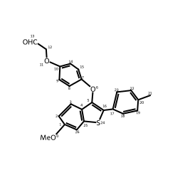 COc1ccc2c(Oc3ccc(OCC=O)cc3)c(-c3ccc(C)cc3)sc2c1